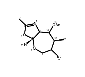 CCC1CO[C@@H]2OC(C)=NC2C(OC(C)=O)[C@H]1C